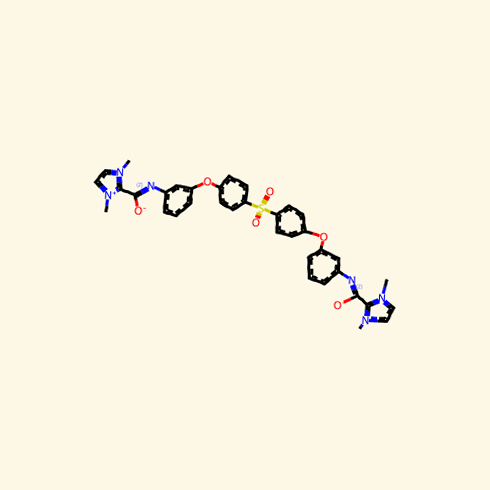 Cn1cc[n+](C)c1/C([O-])=N/c1cccc(Oc2ccc(S(=O)(=O)c3ccc(Oc4cccc(/N=C(\[O-])c5n(C)cc[n+]5C)c4)cc3)cc2)c1